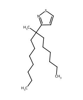 CCCCCCCC(C)(CCCCCC)c1ccsn1